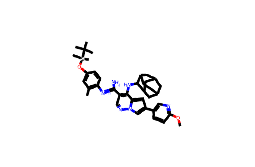 COc1ccc(-c2cc3c(NC4C5CC6CC(C5)CC4C6)c(/C(N)=N/c4ccc(O[Si](C)(C)C(C)(C)C)cc4C)cnn3c2)cn1